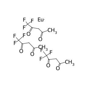 CC(=O)CC(=O)C(F)(F)F.CC(=O)CC(=O)C(F)(F)F.CC(=O)CC(=O)C(F)(F)F.[Eu]